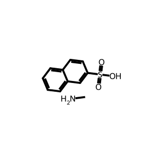 CN.O=S(=O)(O)c1ccc2ccccc2c1